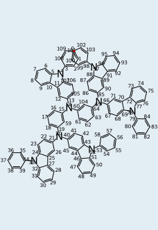 c1ccc(-n2c3ccccc3c3cc(N(c4cccc(N(c5ccc6c(c5)c5ccccc5n6-c5ccccc5)c5ccc6c(c5)c5ccccc5n6-c5ccccc5)c4)c4cccc(N(c5ccc6c(c5)c5ccccc5n6-c5ccccc5)c5ccc6c(c5)c5ccccc5n6-c5ccccc5)c4)ccc32)cc1